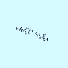 COc1ccc(CCC=CCCC(=O)O)cc1